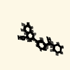 Oc1nc(-c2ccnc(NC3CCCCC3)c2)cc2cnccc12